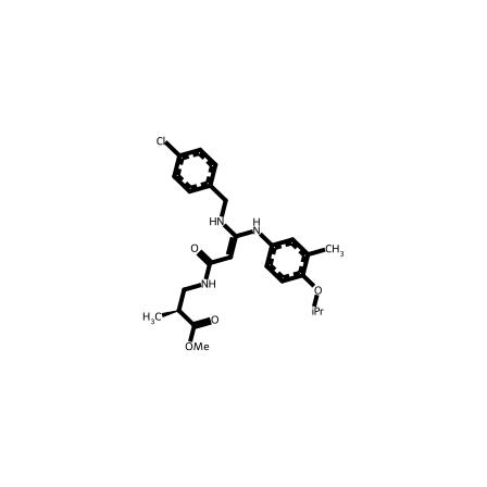 COC(=O)[C@@H](C)CNC(=O)/C=C(\NCc1ccc(Cl)cc1)Nc1ccc(OC(C)C)c(C)c1